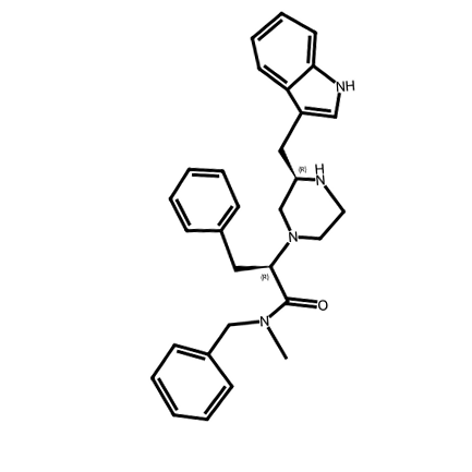 CN(Cc1ccccc1)C(=O)[C@@H](Cc1ccccc1)N1CCN[C@H](Cc2c[nH]c3ccccc23)C1